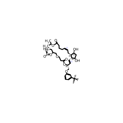 CCC(COCCC(=O)O[C@H](/C=C/[C@@H]1[C@@H](C/C=C\CCCC(=O)OC(C)C)[C@@H](O)C[C@H]1O)COc1cccc(C(F)(F)F)c1)O[N+](=O)[O-]